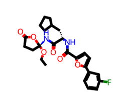 CCO[C@]1(NC(=O)[C@H](CC2CCCC2)NC(=O)c2ccc(-c3cccc(F)c3)o2)CCC(=O)O1